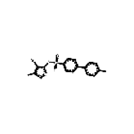 Cc1ccc(-c2ccc(S(=O)(=O)Nc3onc(C)c3Br)cc2)cc1